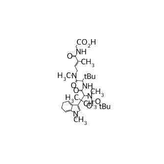 C/C(=C\CN(C)C(=O)C(NC(=O)[C@@H](N(C)C(=O)OC(C)(C)C)C(C)(C)c1cn(C)c2c1=CCCC=2)C(C)(C)C)C(=O)NCC(=O)O